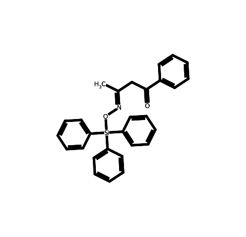 CC(CC(=O)c1ccccc1)=NO[Si](c1ccccc1)(c1ccccc1)c1ccccc1